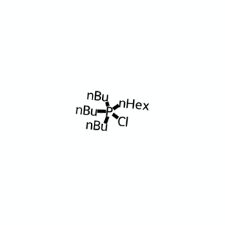 CCCCCCP(Cl)(CCCC)(CCCC)CCCC